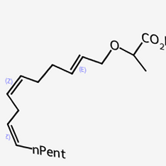 CCCCC/C=C\C/C=C\CC/C=C/COC(C)C(=O)O